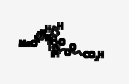 CO[n+]1ccnc(-n2nc(C(=O)N[C@H](COC(=O)CCCC(=O)O)C(C)C)c3c2[C@@H]2C[C@@H]2C3)c1